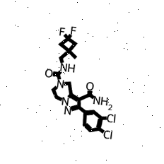 CC1(CNC(=O)N2CCn3nc(-c4ccc(Cl)c(Cl)c4)c(C(N)=O)c3C2)CC(F)(F)C1